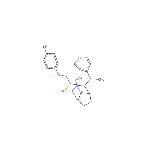 CC(c1ccncc1)C1C2CCC(CN1C(=O)O)N2CC(O)COc1ccc(C#N)cc1